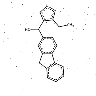 CCn1cncc1C(O)c1ccc2c(c1)Cc1ccccc1-2